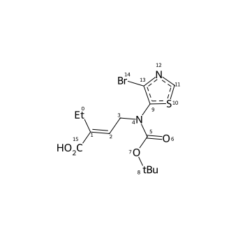 CC/C(=C\CN(C(=O)OC(C)(C)C)c1scnc1Br)C(=O)O